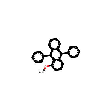 CCCCOc1cccc2c(-c3ccccc3)c3ccccc3c(-c3ccccc3)c12